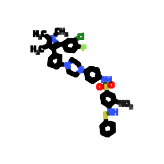 Cc1c(-c2cccc(N3CCN(c4ccc(NS(=O)(=O)c5ccc(NSc6ccccc6)c([N+](=O)[O-])c5)cc4)CC3)c2)c(-c2ccc(F)c(Cl)c2)n(C)c1C